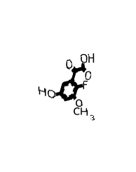 COc1cc(O)cc(C(=O)C(=O)O)c1F